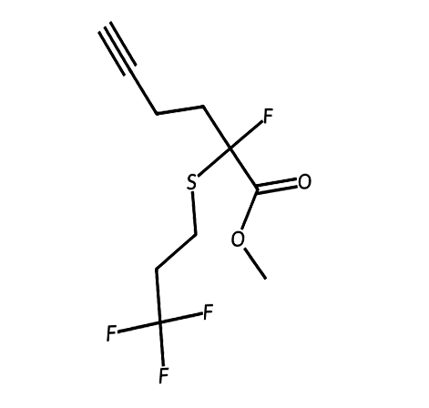 C#CCCC(F)(SCCC(F)(F)F)C(=O)OC